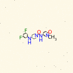 Cn1cc(NC(=O)N2CCC(Nc3cc(F)cc(F)c3)CC2)ccc1=O